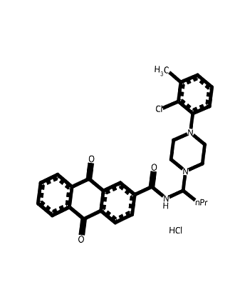 CCCC(NC(=O)c1ccc2c(c1)C(=O)c1ccccc1C2=O)N1CCN(c2cccc(C)c2Cl)CC1.Cl